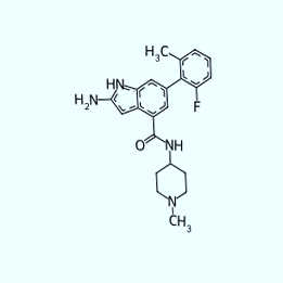 Cc1cccc(F)c1-c1cc(C(=O)NC2CCN(C)CC2)c2cc(N)[nH]c2c1